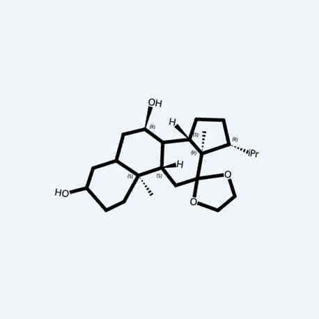 CC(C)[C@H]1CC[C@H]2C3[C@H](O)CC4CC(O)CC[C@]4(C)[C@H]3CC3(OCCO3)[C@]12C